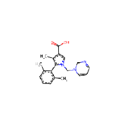 Cc1cccc(C)c1-c1c(C)c(C(=O)O)cn1CN1C=CC=NC1